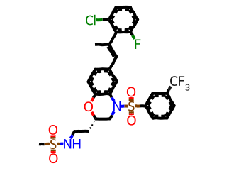 C/C(=C\c1ccc2c(c1)N(S(=O)(=O)c1cccc(C(F)(F)F)c1)C[C@H](CCNS(C)(=O)=O)O2)c1c(F)cccc1Cl